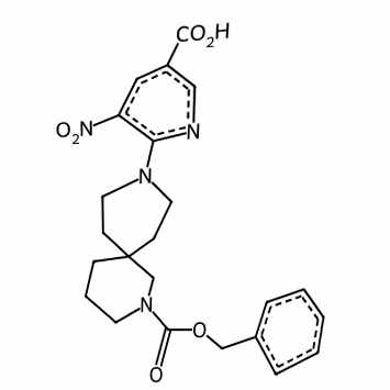 O=C(O)c1cnc(N2CCC3(CCCN(C(=O)OCc4ccccc4)C3)CC2)c([N+](=O)[O-])c1